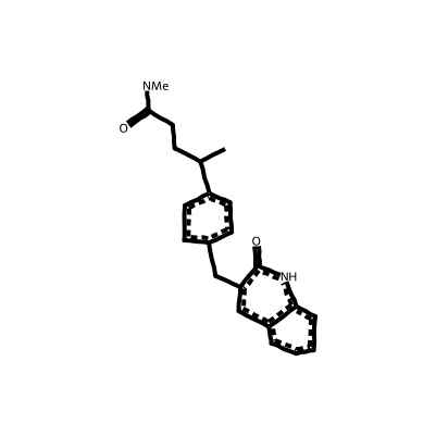 CNC(=O)CCC(C)c1ccc(Cc2cc3ccccc3[nH]c2=O)cc1